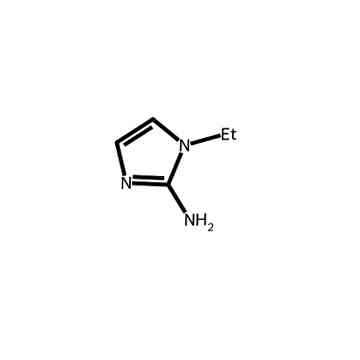 [CH2]Cn1ccnc1N